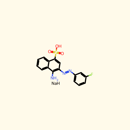 Nc1c(/N=N/c2cccc(F)c2)cc(S(=O)(=O)O)c2ccccc12.[NaH]